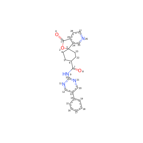 O=C1OC2(CCC(C(=O)Nc3ncc(-c4ccccc4)cn3)CC2)c2cnccc21